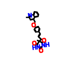 Cc1cc(COc2ccc(C=CCC3(C)C(=O)NC(=O)NC3=O)cc2)c2ccccc2n1